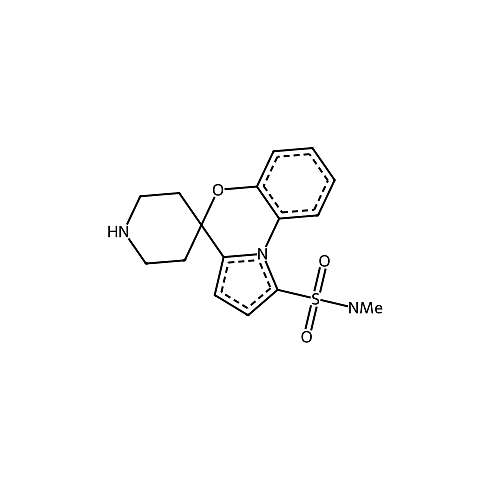 CNS(=O)(=O)c1ccc2n1-c1ccccc1OC21CCNCC1